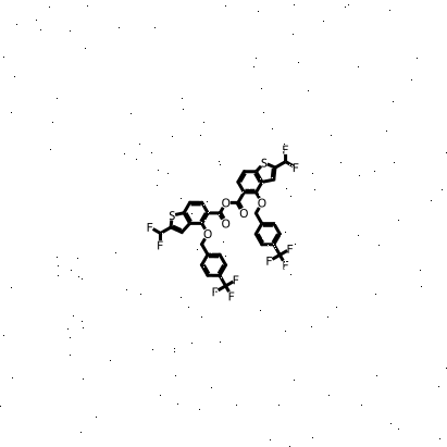 O=C(OC(=O)c1ccc2sc(C(F)F)cc2c1OCc1ccc(C(F)(F)F)cc1)c1ccc2sc(C(F)F)cc2c1OCc1ccc(C(F)(F)F)cc1